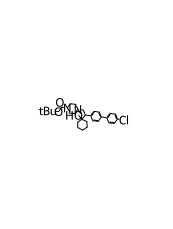 CC(C)(C)OC(=O)N1CCN(CC(c2ccc(-c3ccc(Cl)cc3)cc2)C2(O)CCCCC2)CC1